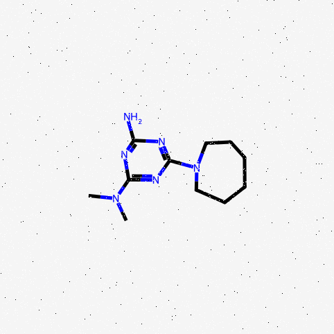 CN(C)c1nc(N)nc(N2CCCCCC2)n1